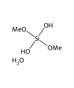 CO[Si](O)(O)OC.O